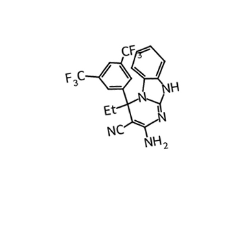 CCC1(c2cc(C(F)(F)F)cc(C(F)(F)F)c2)C(C#N)=C(N)N=C2Nc3ccccc3N21